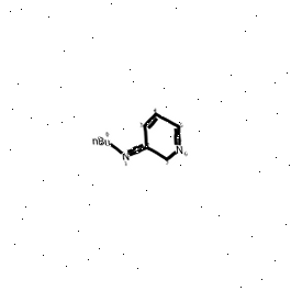 CCCC/N=C1\C=CC=NC1